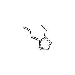 C=C/C=c1/occ/c1=C/C